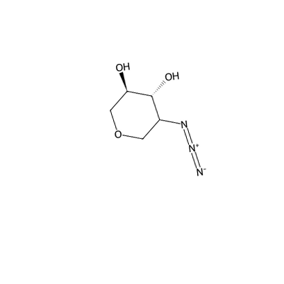 [N-]=[N+]=NC1COC[C@@H](O)[C@@H]1O